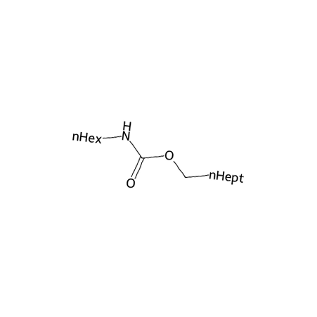 CCCCCCCCOC(=O)NCCCCCC